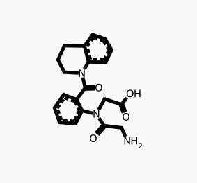 NCC(=O)N(CC(=O)O)c1ccccc1C(=O)N1CCCc2ccccc21